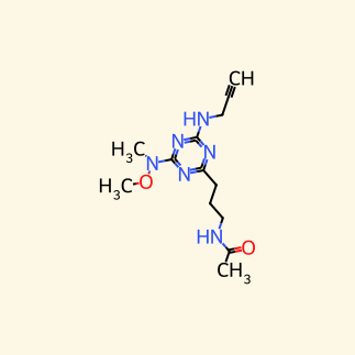 C#CCNc1nc(CCCNC(C)=O)nc(N(C)OC)n1